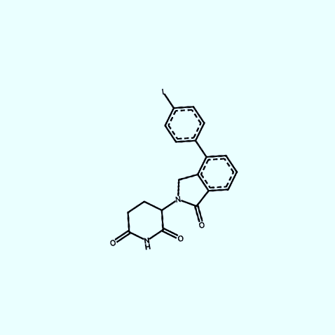 O=C1CCC(N2Cc3c(cccc3-c3ccc(I)cc3)C2=O)C(=O)N1